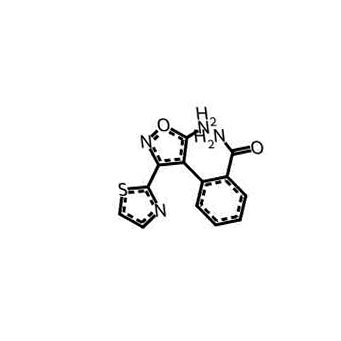 NC(=O)c1ccccc1-c1c(-c2nccs2)noc1N